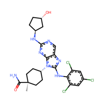 C[C@]1(C(N)=O)CC[C@H](n2c(Nc3c(Cl)cc(Cl)cc3Cl)nc3cnc(N[C@H]4CC[C@H](O)C4)nc32)CC1